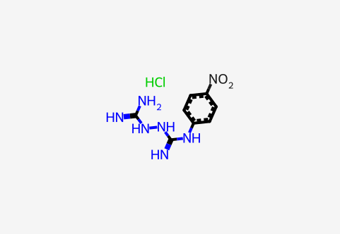 Cl.N=C(N)NNC(=N)Nc1ccc([N+](=O)[O-])cc1